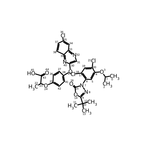 CC(C)Oc1cc(-n2nc(C(C)(C)C)oc2=O)c(Cl)cc1Cl.CC(Oc1ccc(Oc2cnc3cc(Cl)ccc3n2)cc1)C(=O)O